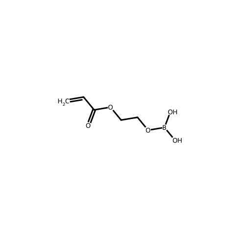 C=CC(=O)OCCOB(O)O